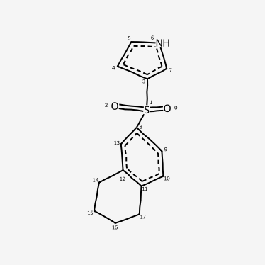 O=S(=O)(c1cc[nH]c1)c1ccc2c(c1)CCCC2